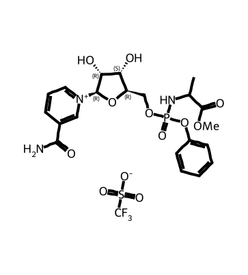 COC(=O)C(C)NP(=O)(OC[C@H]1O[C@@H]([n+]2cccc(C(N)=O)c2)[C@H](O)[C@@H]1O)Oc1ccccc1.O=S(=O)([O-])C(F)(F)F